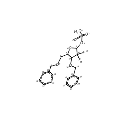 CS(=O)(=O)OC1OC(COCc2ccccc2)C(OCc2ccccc2)C1(F)F